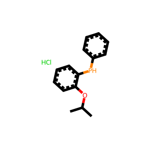 CC(C)Oc1ccccc1Pc1ccccc1.Cl